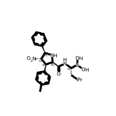 Cc1ccc([C@H]2[C@H]([N+](=O)[O-])[C@@H](c3ccccc3)N[C@H]2C(=O)N[C@@H](CC(C)C)B(O)O)cc1